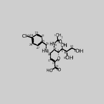 CC(=O)N[C@H]1[C@H]([C@H](O)[C@H](O)CO)OC(C(=O)O)=C[C@@H]1NCc1ccc(Cl)cc1